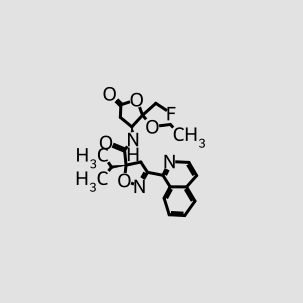 CCOC1(CF)OC(=O)C[C@@H]1NC(=O)[C@]1(C(C)C)CC(c2nccc3ccccc23)=NO1